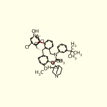 COc1ccc([C@H](Cc2c(Cl)c[n+](O)cc2Cl)c2c(CN(C(=O)O[C@H]3CN4CCC3CC4)c3cccc(C(C)(C)C)c3)cccc2C(=O)[O-])cc1OC